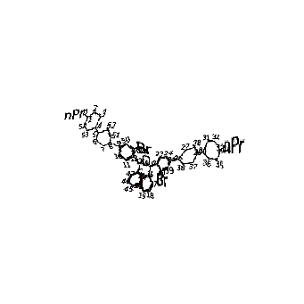 CCCC1CCC(C2CCC(c3ccc(C(OC(c4ccccc4)c4ccc(C5CCC(C6CCC(CCC)CC6)CC5)cc4Br)c4ccccc4)c(Br)c3)CC2)CC1